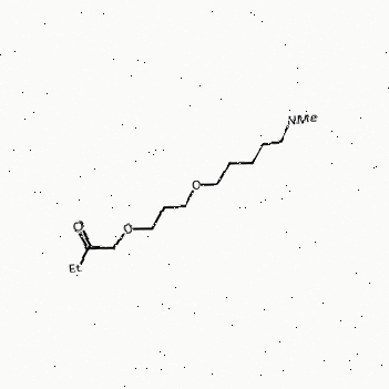 CCC(=O)COCCCOCCCCCNC